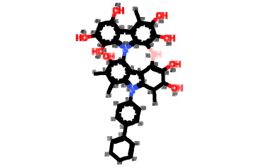 Cc1c(O)c2c3c4c(n(-c5ccc(C6=CCCC=C6)cc5)c3c1C)C(C)C(O)C(O)=C4Bc1c(O)c(O)c(C)c3c4c(O)cc(O)c(O)c4n-2c13